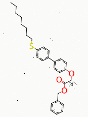 CCCCCCCCSc1ccc(-c2ccc(O[C@H](C)C(=O)OCc3ccccc3)cc2)cc1